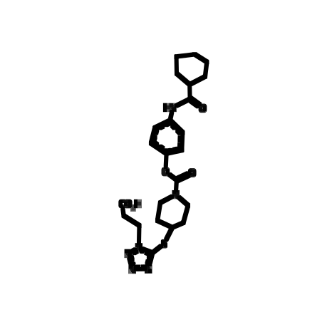 O=C(O)CCn1nnnc1SC1CCN(C(=O)Oc2ccc(NC(=O)C3CCCCC3)cc2)CC1